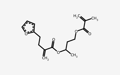 C=C(C)C(=O)OCCC(C)OC(=O)C(=C)CCc1ccco1